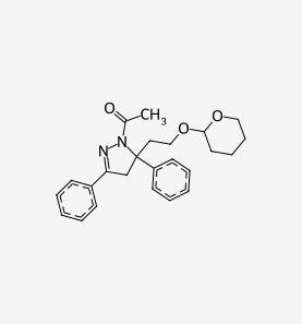 CC(=O)N1N=C(c2ccccc2)CC1(CCOC1CCCCO1)c1ccccc1